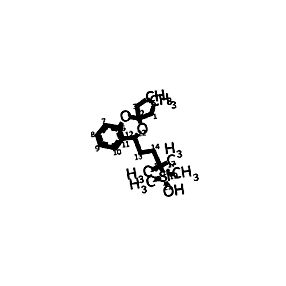 CCC1(CC)Oc2ccccc2C(CCC(C)(C)[Si](C)(C)O)O1